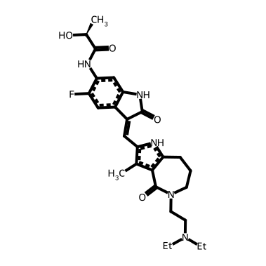 CCN(CC)CCN1CCCc2[nH]c(/C=C3\C(=O)Nc4cc(NC(=O)[C@H](C)O)c(F)cc43)c(C)c2C1=O